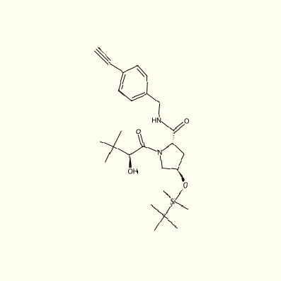 C#Cc1ccc(CNC(=O)[C@@H]2C[C@@H](O[Si](C)(C)C(C)(C)C)CN2C(=O)[C@@H](O)C(C)(C)C)cc1